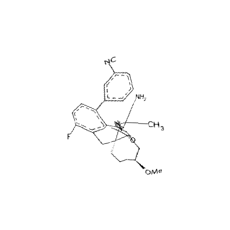 [C-]#[N+]c1cccc(-c2ccc(F)c3c2C2(N=C(N)N(C)C2=O)[C@]2(CC[C@H](OC)CC2)C3)c1